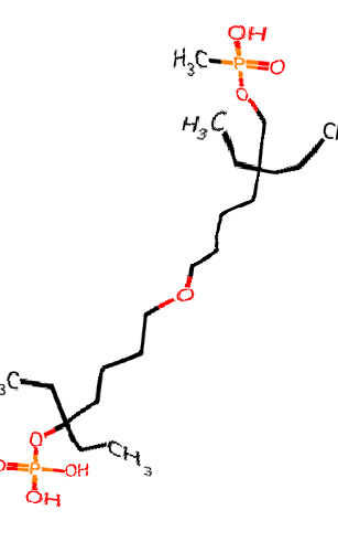 CCC(CC)(CCCCOCCCCC(CC)(CC)OP(=O)(O)O)COP(C)(=O)O